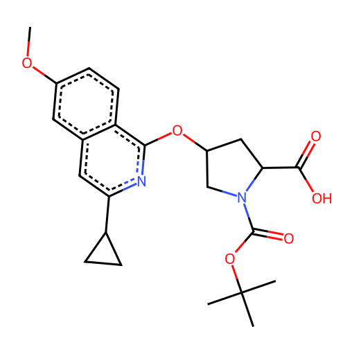 COc1ccc2c(OC3CC(C(=O)O)N(C(=O)OC(C)(C)C)C3)nc(C3CC3)cc2c1